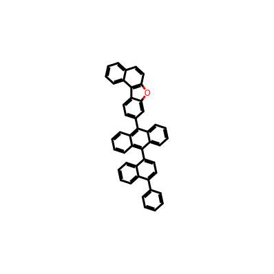 c1ccc(-c2ccc(-c3c4ccccc4c(-c4ccc5c(c4)oc4ccc6ccccc6c45)c4ccccc34)c3ccccc23)cc1